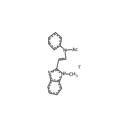 CC(=O)N(C=Cc1sc2ccccc2[n+]1C)c1ccccc1.[I-]